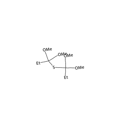 CCC(OC)(OC)SC(CC)(OC)OC